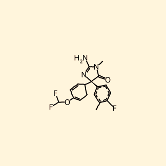 Cc1cc([C@@]2(C3C=CC(OC(F)F)=CC3)N=C(N)N(C)C2=O)ccc1F